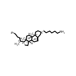 CC(C)CCC[C@@H](C)[C@H]1CC[C@H]2[C@@H]3CC=C4C[C@@H]([CH]CCCCCN)CC[C@]4(C)[C@H]3CC[C@]12C